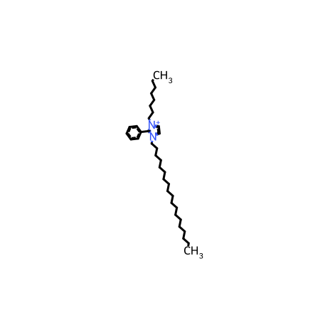 CCCCCCCCCCCCCCCCCCCn1cc[n+](CCCCCCCC)c1-c1ccccc1